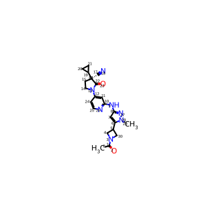 CC(=O)N1CC(c2cc(Nc3cc(N4CC[C@@](C#N)(C5CC5)C4=O)ccn3)nn2C)C1